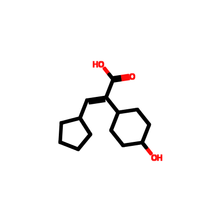 O=C(O)/C(=C/C1CCCC1)C1CCC(O)CC1